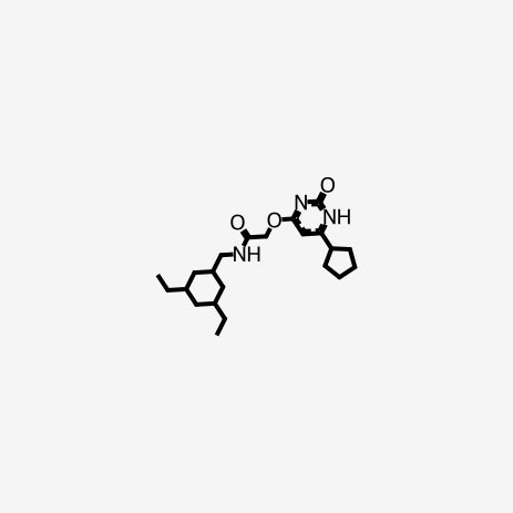 CCC1CC(CC)CC(CNC(=O)COc2cc(C3CCCC3)[nH]c(=O)n2)C1